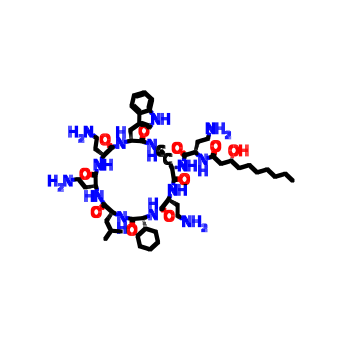 CCCCCCC[C@@H](O)CC(=O)N[C@H](CCN)C(=O)N[C@H]1CCNC(=O)[C@H](Cc2c[nH]c3ccccc23)NC(=O)[C@H](CCN)NC(=O)[C@H](CCN)NC(=O)[C@H](CC(C)C)NC(=O)[C@@H](C2CCCCC2)NC(=O)[C@H](CCN)NC1=O